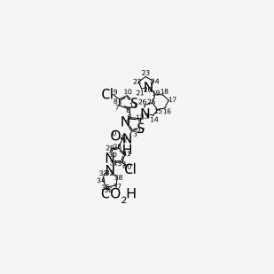 O=C(Nc1nc(-c2cc(Cl)cs2)c(N2CC3CCCC(N4CCCC4)C3C2)s1)c1cnc(N2CCC(C(=O)O)CC2)c(Cl)c1